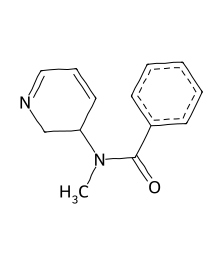 CN(C(=O)c1ccccc1)C1C=CC=NC1